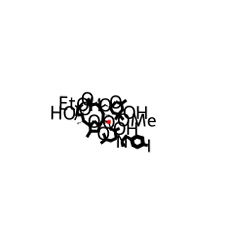 CC[C@@H](O)[C@@](C)(O)[C@@H]1OC(=O)[C@H](C)[C@@H](O[C@H]2CC(C)(OC)[C@@H](O)C(C)O2)[C@H](C)[C@@H](O[C@@H]2OC(C)CC(N(C)Cc3ccc(I)cc3)C2O)[C@@]2(C)CC(C)C(O2)[C@@H]1C